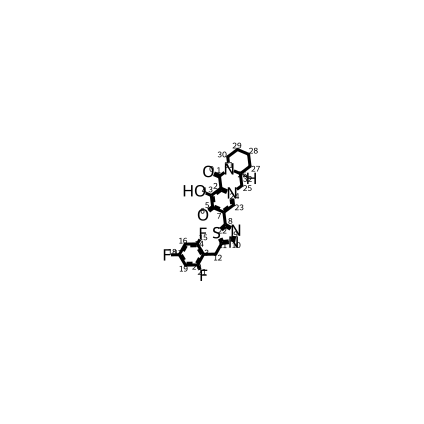 O=C1c2c(O)c(=O)c(-c3nnc(Cc4c(F)cc(F)cc4F)s3)cn2C[C@@H]2CCCCN12